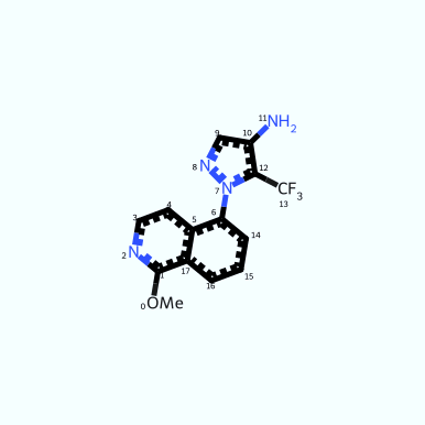 COc1nccc2c(-n3ncc(N)c3C(F)(F)F)cccc12